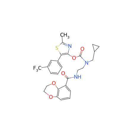 Cc1nc(OC(=O)N(CCNC(=O)c2cccc3c2OCCO3)CC2CC2)c(-c2cccc(C(F)(F)F)c2)s1